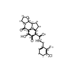 O=C(NCC1=CCCC(Cl)=C1F)c1c2n3c(c(O)c1=O)C(=O)N1CCOC1C3CC2